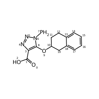 O=C(O)c1nnn(P)c1OC1CCc2ccccc2C1